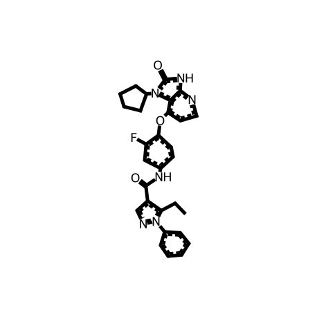 CCc1c(C(=O)Nc2ccc(Oc3ccnc4[nH]c(=O)n(C5CCCC5)c34)c(F)c2)cnn1-c1ccccc1